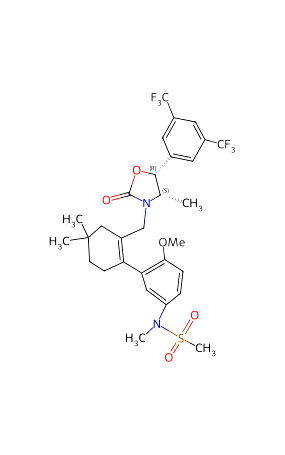 COc1ccc(N(C)S(C)(=O)=O)cc1C1=C(CN2C(=O)O[C@H](c3cc(C(F)(F)F)cc(C(F)(F)F)c3)[C@@H]2C)CC(C)(C)CC1